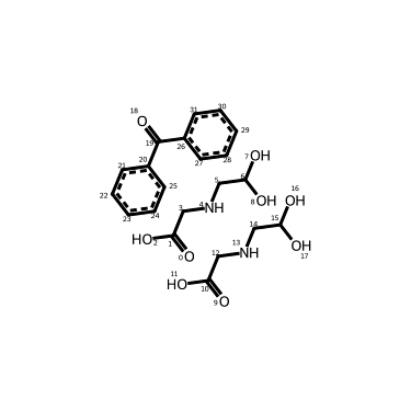 O=C(O)CNCC(O)O.O=C(O)CNCC(O)O.O=C(c1ccccc1)c1ccccc1